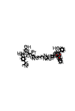 Cc1ncsc1-c1ccc([C@H](C)NC(=O)[C@@H]2C[C@@H](O)CN2C(=O)[C@@H](c2cc(OC/C=C/c3ncc(O[C@H]4C[C@H](Oc5cc(N6C7CCC6CN(c6cc(-c8ccccc8O)nnc6N)C7)ccn5)C4)cn3)no2)C(C)C)cc1